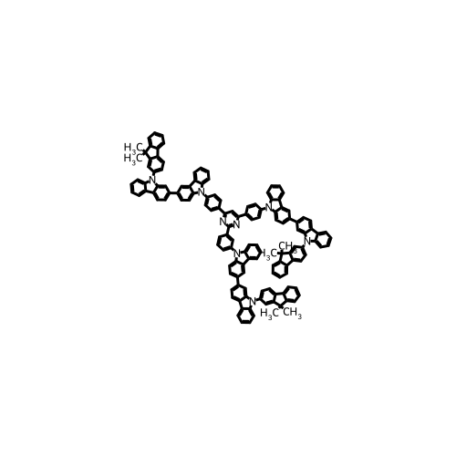 CC1(C)c2ccccc2-c2ccc(-n3c4ccccc4c4ccc(-c5ccc6c(c5)c5ccccc5n6-c5ccc(-c6cc(-c7ccc(-n8c9ccccc9c9cc(-c%10ccc%11c%12ccccc%12n(-c%12ccc%13c(c%12)C(C)(C)c%12ccccc%12-%13)c%11c%10)ccc98)cc7)nc(-c7cccc(-n8c9ccccc9c9cc(-c%10ccc%11c%12ccccc%12n(-c%12ccc%13c(c%12)C(C)(C)c%12ccccc%12-%13)c%11c%10)ccc98)c7)n6)cc5)cc43)cc21